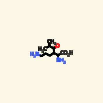 C=C(C)C(=O)C(CCCN)C(N)C(=O)O